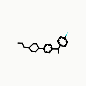 CCCC1CCC(c2ccc(C(C)c3ccc(F)cc3)cc2)CC1